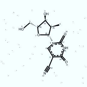 C[C@@H]1[C@H](O)[C@@H](CO)O[C@H]1n1cc(C#N)c(=O)[nH]c1=O